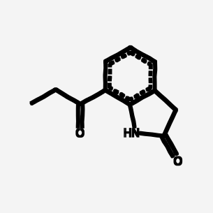 CCC(=O)c1cccc2c1NC(=O)C2